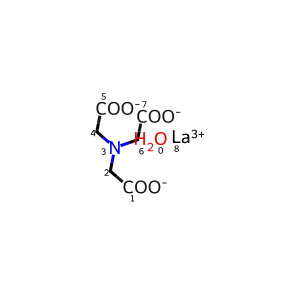 O.O=C([O-])CN(CC(=O)[O-])CC(=O)[O-].[La+3]